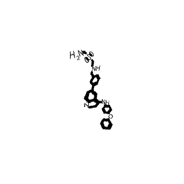 NCS(=O)(=O)CCNCc1cccc(-c2ccc3nccc(Nc4ccc(Oc5ccccc5)cc4)c3c2)c1